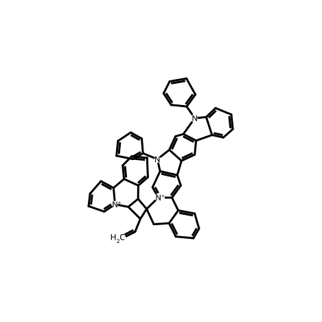 C=CC1C2C(c3ccccc3-c3cccc[n+]32)C12Cc1ccccc1-c1cc3c4cc5c6ccccc6n(-c6ccccc6)c5cc4n(-c4ccccc4)c3c[n+]12